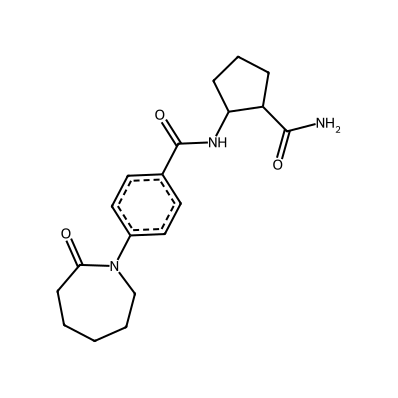 NC(=O)C1CCCC1NC(=O)c1ccc(N2CCCCCC2=O)cc1